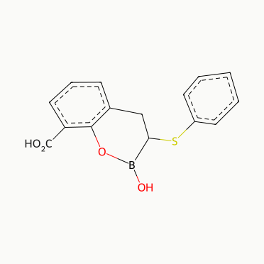 O=C(O)c1cccc2c1OB(O)C(Sc1ccccc1)C2